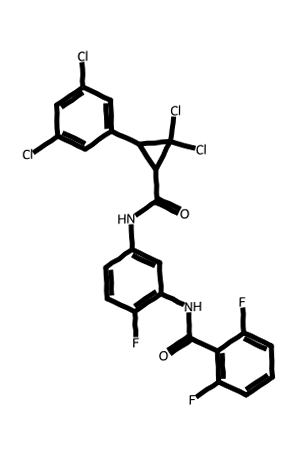 O=C(Nc1cc(NC(=O)C2C(c3cc(Cl)cc(Cl)c3)C2(Cl)Cl)ccc1F)c1c(F)cccc1F